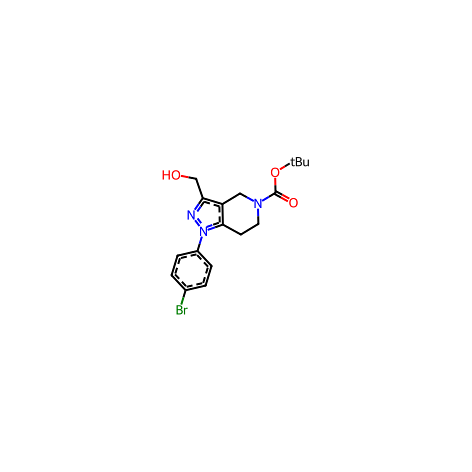 CC(C)(C)OC(=O)N1CCc2c(c(CO)nn2-c2ccc(Br)cc2)C1